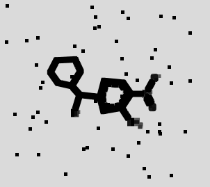 Nc1cc(C(Br)C2CCCCC2)ccc1[N+](=O)[O-]